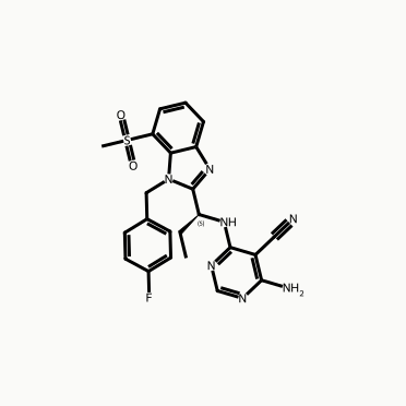 CC[C@H](Nc1ncnc(N)c1C#N)c1nc2cccc(S(C)(=O)=O)c2n1Cc1ccc(F)cc1